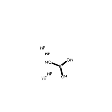 F.F.F.F.OB(O)O